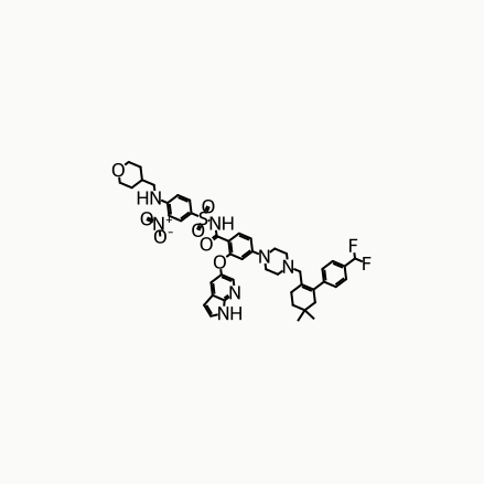 CC1(C)CCC(CN2CCN(c3ccc(C(=O)NS(=O)(=O)c4ccc(NCC5CCOCC5)c([N+](=O)[O-])c4)c(Oc4cnc5[nH]ccc5c4)c3)CC2)=C(c2ccc(C(F)F)cc2)C1